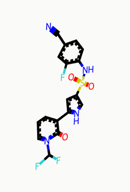 N#Cc1ccc(NS(=O)(=O)c2c[nH]c(-c3cccn(C(F)F)c3=O)c2)c(F)c1